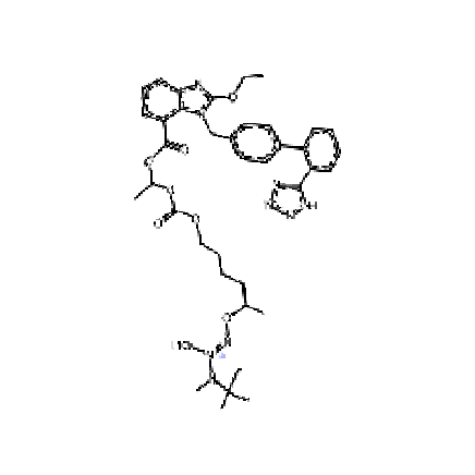 CCOc1nc2cccc(C(=O)OC(C)OC(=O)OCCCCC(C)O/N=[N+](\O)N(C)C(C)(C)C)c2n1Cc1ccc(-c2ccccc2-c2nnn[nH]2)cc1